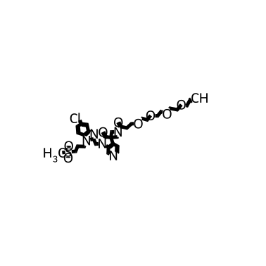 C#CCOCCOCCOCCOCCC(=O)N1CC2(C1)C(=O)N(Cc1nc3cc(Cl)ccc3n1CCCS(C)(=O)=O)c1cnccc12